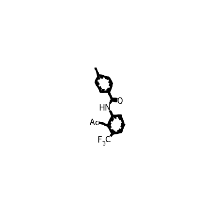 CC(=O)c1c(NC(=O)c2ccc(C)cc2)cccc1C(F)(F)F